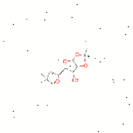 CC1(C)COC(C2OC3OC(C)(C)OC3C2O)C1